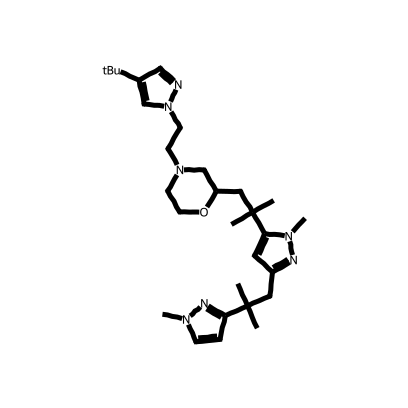 Cn1ccc(C(C)(C)Cc2cc(C(C)(C)CC3CN(CCn4cc(C(C)(C)C)cn4)CCO3)n(C)n2)n1